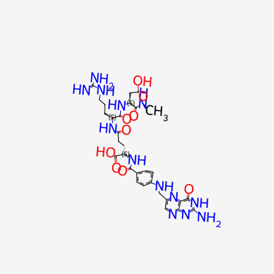 CNC(=O)[C@H](CC(=O)O)NC(=O)[C@H](CCCNC(=N)N)NC(=O)CC[C@H](NC(=O)c1ccc(NCc2cnc3nc(N)[nH]c(=O)c3n2)cc1)C(=O)O